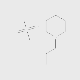 CCCN1CCCCC1.CS(=O)(=O)O